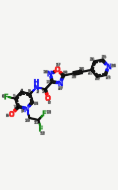 O=C(Nc1cc(F)c(=O)n(CC(F)F)c1)c1noc(C#Cc2ccncc2)n1